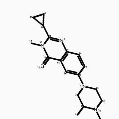 CC1CN(c2ccc3nc(C4CC4)n(C)c(=O)c3c2)CCN1C